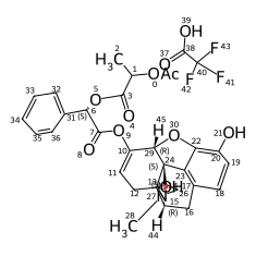 CC(=O)OC(C)C(=O)O[C@H](C(=O)OC1=CC[C@@]2(O)[C@H]3Cc4ccc(O)c5c4[C@@]2(CCN3C)[C@H]1O5)c1ccccc1.O=C(O)C(F)(F)F